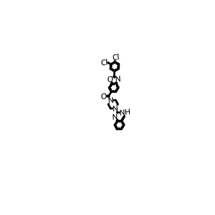 O=C(c1ccc2nc(-c3ccc(Cl)c(Cl)c3)oc2c1)N1CCN(C2N=c3ccccc3=CN2)CC1